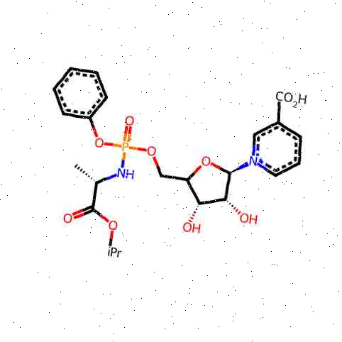 CC(C)OC(=O)[C@H](C)NP(=O)(OCC1O[C@@H]([n+]2cccc(C(=O)O)c2)[C@H](O)[C@@H]1O)Oc1ccccc1